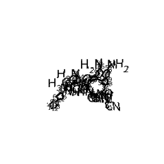 Cc1nc(-c2ccc(N3CCCCC3)cc2)nc(C)c1C(=O)NC(CCN)C(=O)N(C)C1C(=O)NC(C)C(=O)NC(C(=O)NCC#N)Cc2ccc(OCCN)c(c2)-c2cc1ccc2OCCN